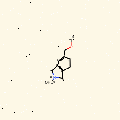 CC(C)OCc1ccc2c(c1)CN(C=O)C2